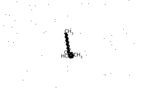 CCCCCCCCCCCC(=O)c1cc(C)ccc1O